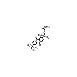 COC(=O)CCCC(C)(C)c1ccc2c(c1)C(=O)c1ccc(C(C)(C)CC(C)(C)C)cc1C2=O